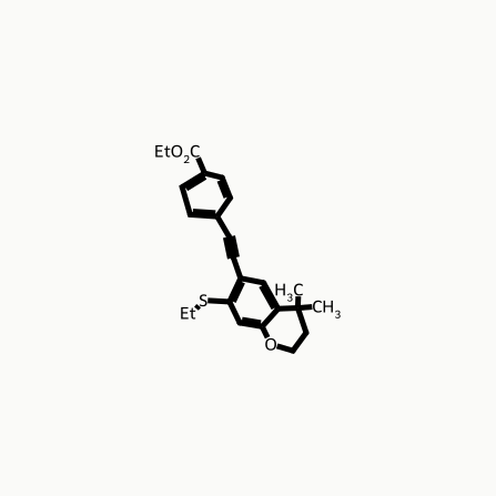 CCOC(=O)c1ccc(C#Cc2cc3c(cc2SCC)OCCC3(C)C)cc1